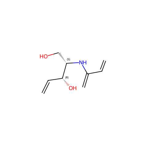 C=CC(=C)N[C@@H](CO)[C@H](O)C=C